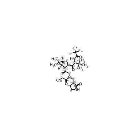 CC(C)(C)[C@H](NC(=O)C(F)(F)F)C(=O)N1C[C@H]2[C@@H]([C@H]1C(=O)CN(C[C@@H]1CCNC1=O)C(=O)CCl)C2(C)C